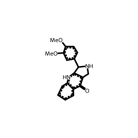 COc1ccc(C2NCc3c2[nH]c2ccccc2c3=O)cc1OC